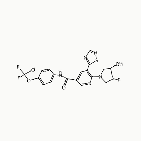 O=C(Nc1ccc(OC(F)(F)Cl)cc1)c1cnc(N2CC(O)C(F)C2)c(-c2ncns2)c1